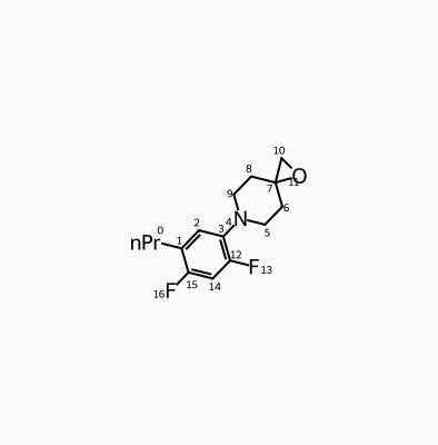 CCCc1cc(N2CCC3(CC2)CO3)c(F)cc1F